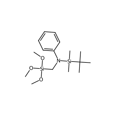 CO[Si](CN(c1ccccc1)[Si](C)(C)C(C)(C)C)(OC)OC